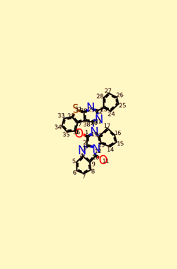 O=c1c2nc3ccccc3c(=O)n2c2ccccc2n1-c1nc(-c2ccccc2)nc2sc3ccccc3c12